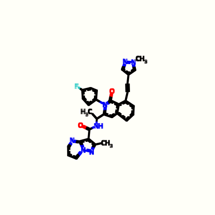 Cc1nn2cccnc2c1C(=O)NC(C)c1cc2cccc(C#Cc3cnn(C)c3)c2c(=O)n1-c1ccc(F)cc1